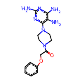 Nc1nc(N)c(N)c(N2CCN(C(=O)COc3ccccc3)CC2)n1